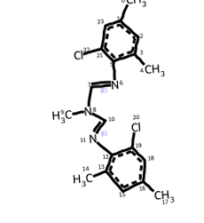 Cc1cc(C)c(/N=C/N(C)/C=N/c2c(C)cc(C)cc2Cl)c(Cl)c1